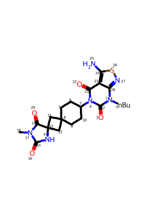 CCCCn1c(=O)n(C2CCC3(CC2)CC2(C3)NC(=O)N(C)C2=O)c(=O)c2c(N)snc21